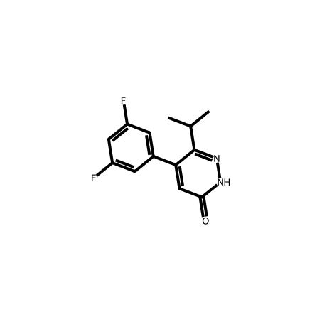 CC(C)c1n[nH]c(=O)cc1-c1cc(F)cc(F)c1